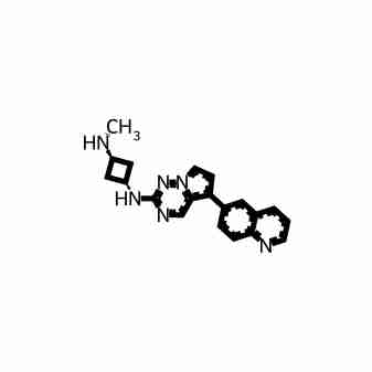 CN[C@H]1C[C@H](Nc2ncc3c(-c4ccc5ncccc5c4)ccn3n2)C1